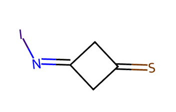 S=C1CC(=NI)C1